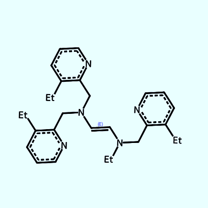 CCc1cccnc1CN(/C=C/N(Cc1ncccc1CC)Cc1ncccc1CC)CC